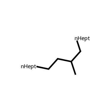 [CH2]CCCCCCCC(C)CCCCCCCCC